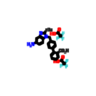 CCCCc1nc2cc(N)ccc2n1Cc1ccc(-c2ccccc2C(=O)O)cc1.O=C(O)C(F)(F)F.O=C(O)C(F)(F)F